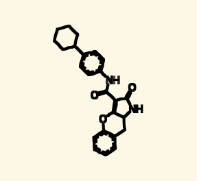 O=C(Nc1ccc(C2CCCCC2)cc1)C1=C2Oc3ccccc3CC2NC1=O